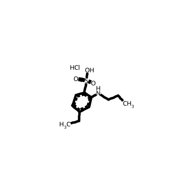 CCCNc1cc(CC)ccc1S(=O)(=O)O.Cl